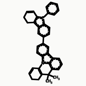 CC1(C)C2=C(C=CCC2)n2c3ccc(-c4ccc5c(c4)c4c(p5-c5ccccc5)C=CCC4)cc3c3cccc1c32